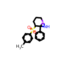 Cc1ccc(S(=O)(=O)C2CCCI3NC23c2ccccc2)cc1